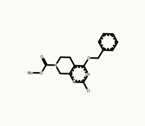 CC(C)(C)OC(=O)N1CCc2c(nc(Cl)nc2OCc2ccccc2)C1